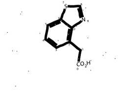 O=C(O)Cc1cccc2scnc12